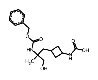 C[C@](CO)(CC1CC(NC(=O)O)C1)NC(=O)OCc1ccccc1